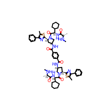 CN[C@@H](C)C(=O)N[C@H](C(=O)N1C[C@@H](NC(=O)c2ccc(C(=O)N[C@H]3C[C@@H](c4nc(-c5ccccc5)c(C)s4)N(C(=O)[C@@H](NC(=O)[C@H](C)NC)C4CCCCC4)C3)cc2)C[C@H]1c1nc(-c2ccccc2)c(C)s1)C1CCCCC1